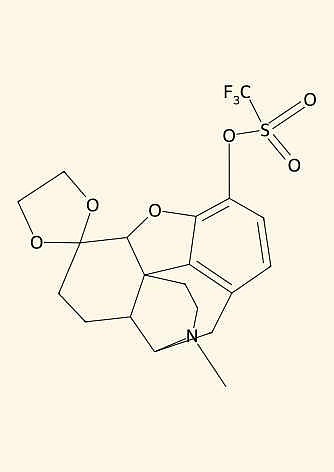 CN1CCC23c4c5ccc(OS(=O)(=O)C(F)(F)F)c4OC2C2(CCC3C1C5)OCCO2